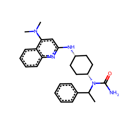 CC(c1ccccc1)N(C(N)=O)[C@H]1CC[C@@H](Nc2cc(N(C)C)c3ccccc3n2)CC1